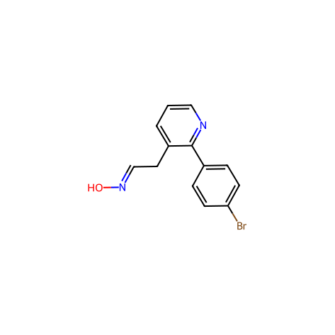 ON=CCc1cccnc1-c1ccc(Br)cc1